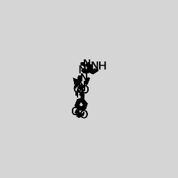 CN(Cc1ccc(S(C)(=O)=O)cc1)S(=O)(=O)N1CCN(c2ncnc3[nH]ccc23)CC12CC2